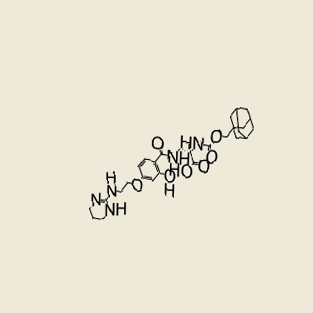 O=C(N[C@@H](CNC(=O)c1ccc(OCCNC2=NCCCN2)cc1O)C(=O)O)OCC12CC3CC(CC(C3)C1)C2